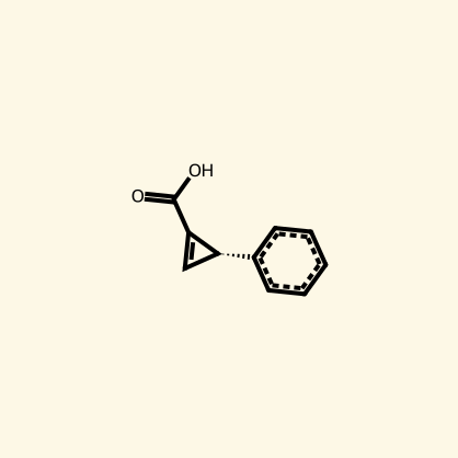 O=C(O)C1=C[C@H]1c1ccccc1